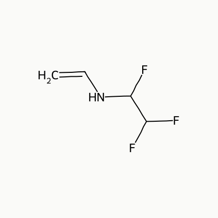 C=CNC(F)C(F)F